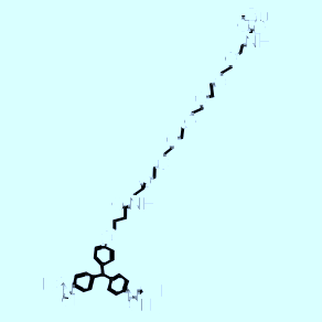 CN(C)c1ccc(C(c2ccc(OCCCC(=O)NCCOCCOCCOCCOCCOCCOCCOCCNC(=O)OC(C)(C)C)cc2)c2ccc(N(C)C)cc2)cc1